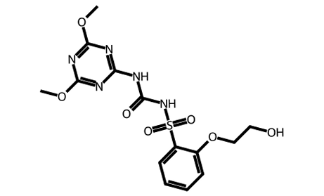 COc1nc(NC(=O)NS(=O)(=O)c2ccccc2OCCO)nc(OC)n1